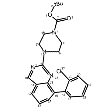 CC(C)(C)OC(=O)N1CCN(c2ncc3cccc(-c4ccccc4Cl)c3n2)CC1